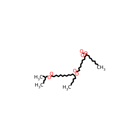 CCCCCCCCC1OC(=O)OC1CCCCCCCC(=O)OC(CCCCCC)CCCCCCCCCCC(=O)OCC(CC)CCCC